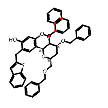 Oc1cc(OCc2ccccc2)c([C@@H]2O[C@H](COCc3ccccc3)C[C@H](OCc3ccccc3)C2OCc2ccccc2)cc1Cc1cc2ccccc2s1